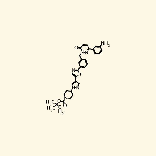 CC(C)(C)OC(=O)N1CCC(n2cc(-c3cnc(-c4cccc(Cn5nc(-c6cccc(N)c6)ccc5=O)c4)o3)cn2)CC1